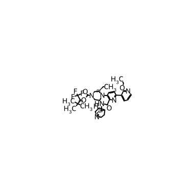 CCOc1ncccc1-c1ccc(N2CCN(C(=O)O[C@H](C(C)(C)C)C(F)(F)F)C[C@H]2CC)c(C(=O)N[C@@H]2CN3CCC2CC3)n1